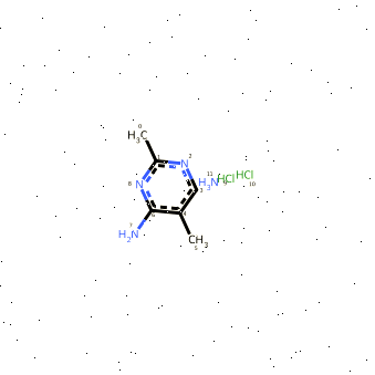 Cc1ncc(C)c(N)n1.Cl.Cl.N